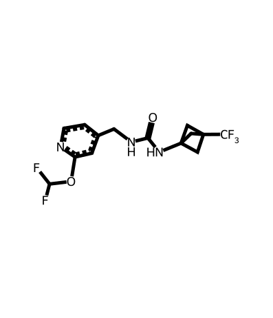 O=C(NCc1ccnc(OC(F)F)c1)NC12CC(C(F)(F)F)(C1)C2